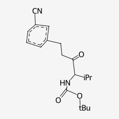 CC(C)C(NC(=O)OC(C)(C)C)C(=O)CCc1cccc(C#N)c1